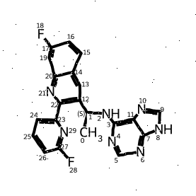 C[C@H](Nc1ncnc2[nH]cnc12)c1cc2ccc(F)cc2nc1-c1cccc(F)n1